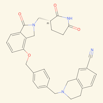 N#Cc1ccc2c(c1)CN(Cc1ccc(COc3cccc4c3CN(C[C@H]3CCC(=O)NC3=O)C4=O)cc1)CC2